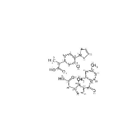 CC(C(=O)O)c1ccc(N2CC=CC2)c(Cl)c1.Cc1ccc(C(=O)c2ccc(CC(=O)O)n2C)cc1